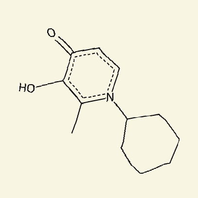 Cc1c(O)c(=O)ccn1C1CCCCC1